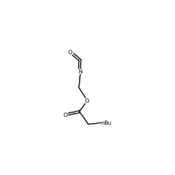 CCCCCC(=O)OCN=C=O